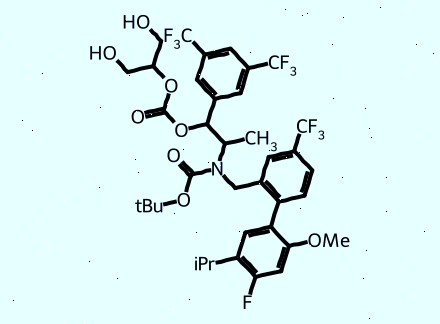 COc1cc(F)c(C(C)C)cc1-c1ccc(C(F)(F)F)cc1CN(C(=O)OC(C)(C)C)C(C)C(OC(=O)OC(CO)CO)c1cc(C(F)(F)F)cc(C(F)(F)F)c1